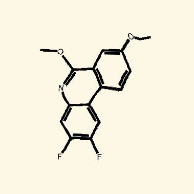 COc1ccc2c(c1)c(OC)nc1cc(F)c(F)cc12